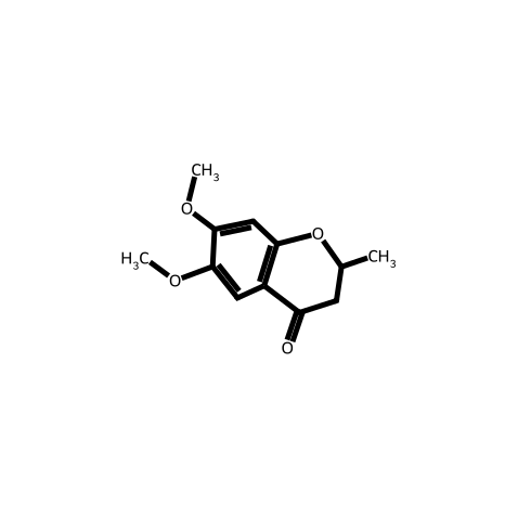 COc1cc2c(cc1OC)C(=O)CC(C)O2